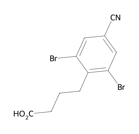 N#Cc1cc(Br)c(CCCC(=O)O)c(Br)c1